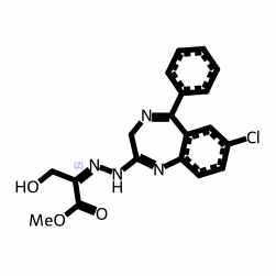 COC(=O)/C(CO)=N\NC1=Nc2ccc(Cl)cc2C(c2ccccc2)=NC1